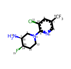 N[C@H]1CN(c2ncc(C(F)(F)F)cc2Cl)CC[C@H]1F